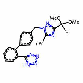 CCCc1nc(C(CC)(OC)OC)nn1Cc1ccc(-c2ccccc2-c2nnn[nH]2)cc1